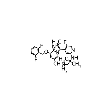 Cc1cc(OCc2c(F)cccc2F)c2nc(C)c(-c3cc(NC(C)(C)CN)ncc3F)n2c1